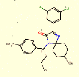 CC(C)CC[C@H](c1ccc(C(=O)O)cc1)N1C(=O)C(c2cc(Cl)cc(Cl)c2)=NC12CCC(C(C)(C)C)CC2